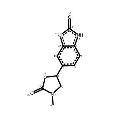 CN1CC(c2ccc3[nH]c(=O)oc3c2)OC1=O